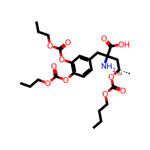 CCCCOC(=O)O[C@@H](C)CC(N)(Cc1ccc(OC(=O)OCCC)c(OC(=O)OCCC)c1)C(=O)O